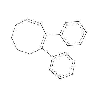 C1=CC(c2ccccc2)=C(c2ccccc2)CCCC1